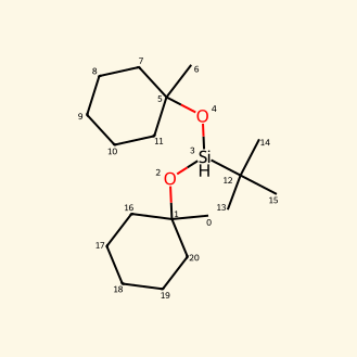 CC1(O[SiH](OC2(C)CCCCC2)C(C)(C)C)CCCCC1